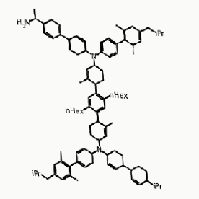 CCCCCCc1cc(C2CCC(N(C3C=CC(c4c(C)cc(CC(C)C)cc4C)=CC3)C3C=CC(C4C=CC(C(C)C)CC4)CC3)C=C2C)c(CCCCCC)cc1C1CCC(N(c2ccc(C3C(C)C=C(CC(C)C)CC3C)cc2)C2C=CC(C3=CCC(C(C)N)C=C3)CC2)C=C1C